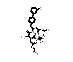 CCOC(=O)C[C@@H](Cc1ccc(-c2cccc(Cl)c2)cc1)NC(=O)C(C)N(CC(=O)OCC)C(=O)OC(C)(C)C